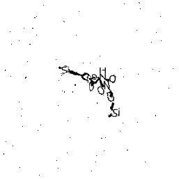 CC1(CS(=O)(=O)N2CC=C(C#C[Si](C)(C)C)CC2)NC(=O)N(COCC[Si](C)(C)C)C1=O